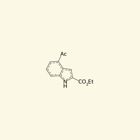 CCOC(=O)c1cc2c(C(C)=O)cccc2[nH]1